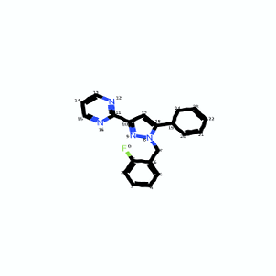 Fc1ccccc1Cn1nc(-c2ncccn2)cc1C1C=CC=CC1